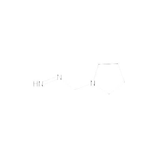 N=NCN1CCCC1